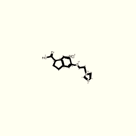 Cl.O=C(O)C1CCc2cc(OCCn3ccnc3)ccc21